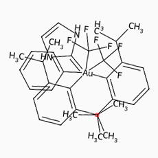 CC(C)c1cccc(C(C)C)[c]1[Au]([c]1ccccc1)([c]1c(C(C)C)cccc1C(C)C)(=[c]1[nH]cc[nH]1)([C](F)(F)F)[C](F)(F)F